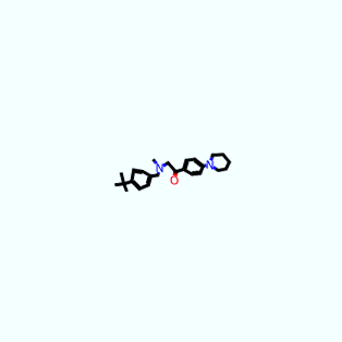 CN(CC(=O)c1ccc(N2CCCCC2)cc1)Cc1ccc(C(C)(C)C)cc1